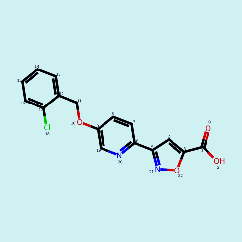 O=C(O)c1cc(-c2ccc(OCc3ccccc3Cl)cn2)no1